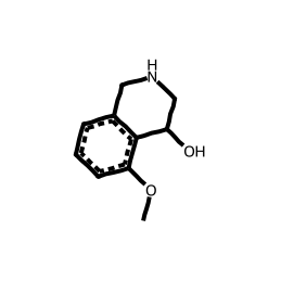 COc1cccc2c1C(O)CNC2